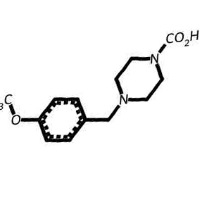 O=C(O)N1CCN(Cc2ccc(OC(F)(F)F)cc2)CC1